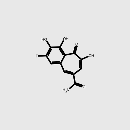 NC(=O)c1cc(O)c(=O)c2c(O)c(O)c(F)cc2c1